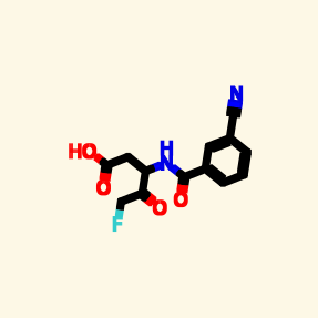 N#Cc1cccc(C(=O)NC(CC(=O)O)C(=O)CF)c1